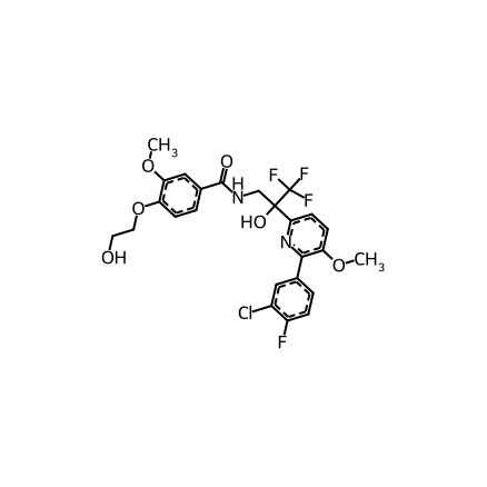 COc1cc(C(=O)NCC(O)(c2ccc(OC)c(-c3ccc(F)c(Cl)c3)n2)C(F)(F)F)ccc1OCCO